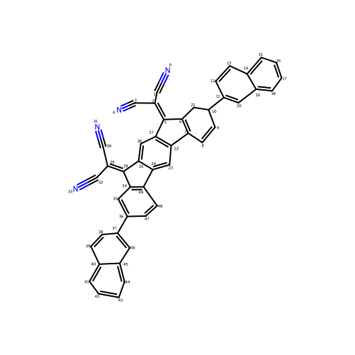 N#CC(C#N)=C1C2=C(C=CC(c3ccc4ccccc4c3)C2)c2cc3c(cc21)C(=C(C#N)C#N)c1cc(-c2ccc4ccccc4c2)ccc1-3